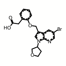 O=C(O)Cc1ccccc1OCc1cn(C2CCOC2)c2ncc(Br)cc12